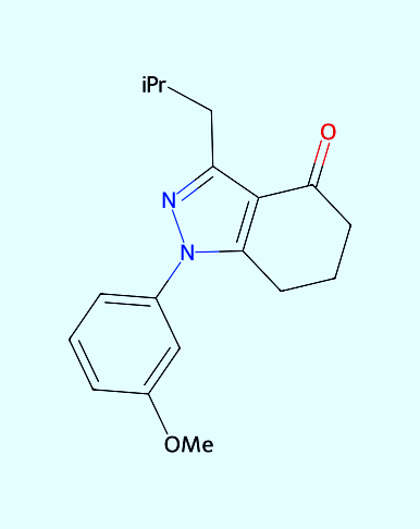 COc1cccc(-n2nc(CC(C)C)c3c2CCCC3=O)c1